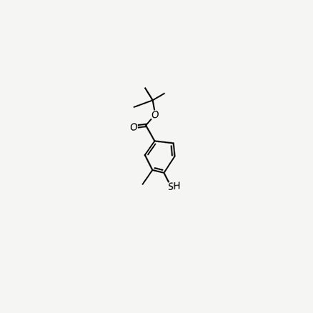 Cc1cc(C(=O)OC(C)(C)C)ccc1S